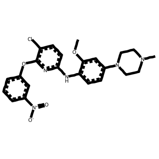 COc1cc(N2CCN(C)CC2)ccc1Nc1ccc(Cl)c(Oc2cccc([N+](=O)[O-])c2)n1